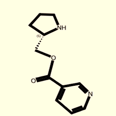 O=C(OC[C@@H]1CCCN1)c1cccnc1